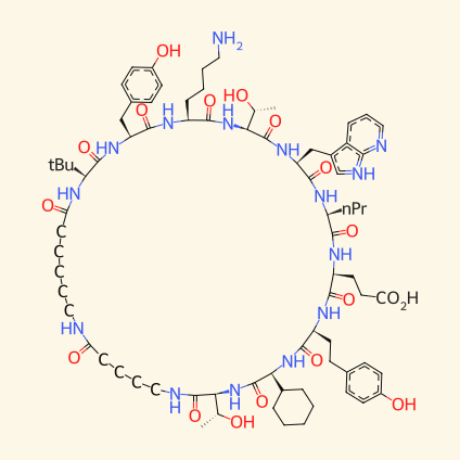 CCC[C@@H]1NC(=O)[C@H](Cc2c[nH]c3ncccc23)NC(=O)[C@H]([C@@H](C)O)NC(=O)[C@H](CCCCN)NC(=O)[C@H](Cc2ccc(O)cc2)NC(=O)[C@H](C(C)(C)C)NC(=O)CCCCCNC(=O)CCCCNC(=O)[C@H]([C@@H](C)O)NC(=O)[C@H](C2CCCCC2)NC(=O)[C@H](CCc2ccc(O)cc2)NC(=O)[C@H](CCC(=O)O)NC1=O